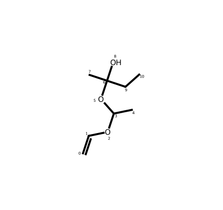 C=COC(C)OC(C)(O)CC